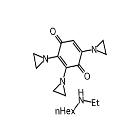 CCCCCCNCC.O=C1C=C(N2CC2)C(=O)C(N2CC2)=C1N1CC1